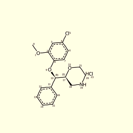 COc1cc(Cl)ccc1O[C@H](c1ccccc1)[C@@H]1CNCCO1.Cl